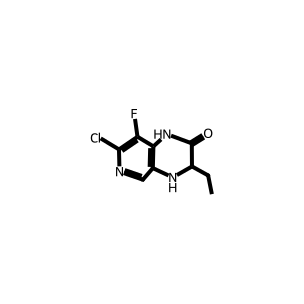 CCC1Nc2cnc(Cl)c(F)c2NC1=O